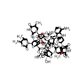 Cc1cn([C@@H]2O[C@]3(CO)C(OP(=O)(S)OC[C@]45O[C@@H](n6cc(C)c(N)nc6=O)[C@@H](O[C@H]4C)C5OP(=O)(S)OC[C@]45O[C@@H](N6CNc7c(N)ncnc76)[C@@H](O[C@H]4C)C5OP(=O)(S)OC[C@H]4O[C@@H](n5cc(C)c(=O)[nH]c5=O)C[C@H]4OP(=O)(S)OC[C@@H]4CC[C@H](n5cc(C)c(=O)[nH]c5=O)O4)[C@@H]2O[C@H]3C)c(=O)nc1N